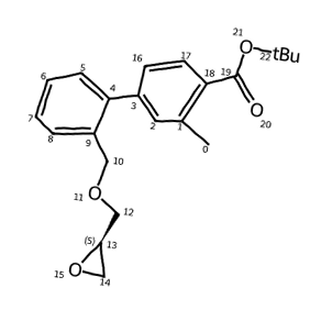 Cc1cc(-c2ccccc2COC[C@H]2CO2)ccc1C(=O)OC(C)(C)C